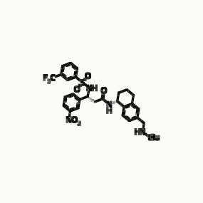 CC(C)(C)NCc1ccc2c(c1)CCC[C@H]2NC(=O)C[C@@H](NS(=O)(=O)c1cccc(C(F)(F)F)c1)c1cccc([N+](=O)[O-])c1